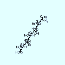 N[C@@H](CCC(=O)N[C@@H](CCC(=O)N[C@@H](CCC(=O)N[C@@H](CCC(=O)N[C@@H](CCC(=O)N[C@@H](CCC(=O)O)C(=O)O)C(=O)O)C(=O)O)C(=O)O)C(=O)O)C(=O)O